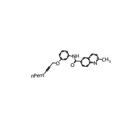 CCCCCC#CCOc1cccc(NC(=O)c2ccc3nc(C)ccc3c2)c1